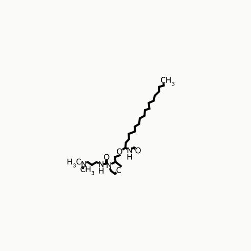 CCCCCCCCCCCCCCCCCC(NC=O)OCCC1CCCCN1C(=O)NCCCN(C)C